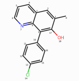 Cc1cc2cccnc2c(-c2ccc(Cl)cc2)c1O